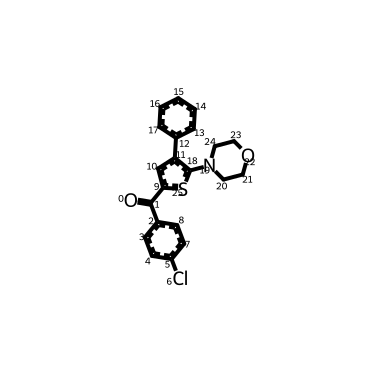 O=C(c1ccc(Cl)cc1)c1cc(-c2ccccc2)c(N2CCOCC2)s1